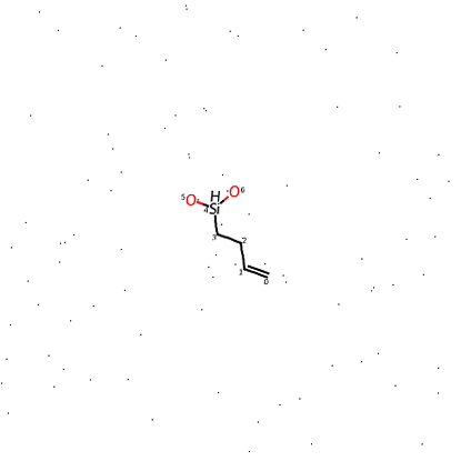 C=CCC[SiH]([O])[O]